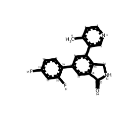 Cc1ccncc1-c1cc(-c2ccc(F)cc2F)cc2c1CNC2=O